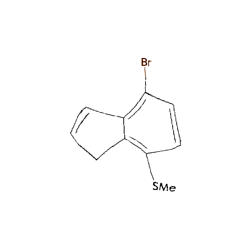 CSc1ccc(Br)c2c1CC=C2